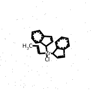 CC=[CH][Zr]([Cl])([CH]1C=Cc2ccccc21)[CH]1C=Cc2ccccc21